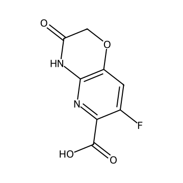 O=C1COc2cc(F)c(C(=O)O)nc2N1